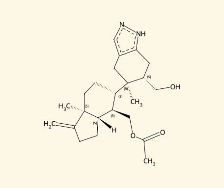 C=C1CC[C@H]2[C@H](COC(C)=O)[C@@H]([C@@]3(C)Cc4cn[nH]c4C[C@@H]3CO)CC[C@]12C